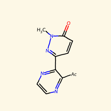 CC(=O)c1nccnc1-c1ccc(=O)n(C)n1